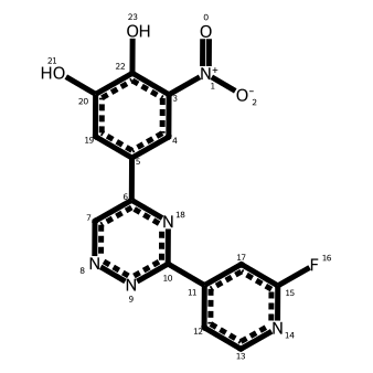 O=[N+]([O-])c1cc(-c2cnnc(-c3ccnc(F)c3)n2)cc(O)c1O